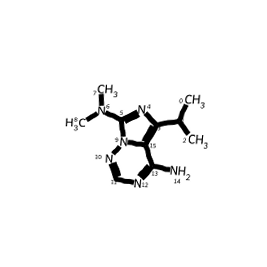 CC(C)c1nc(N(C)C)n2ncnc(N)c12